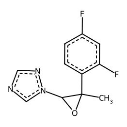 CC1(c2ccc(F)cc2F)OC1n1cncn1